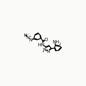 Cn1nc(-c2ccccc2N)cc1NC(=O)c1cccc(N=[N+]=[N-])c1